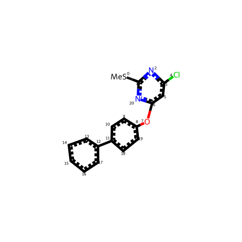 CSc1nc(Cl)cc(Oc2ccc(-c3ccccc3)cc2)n1